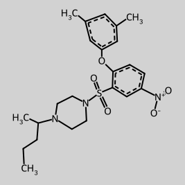 CCCC(C)N1CCN(S(=O)(=O)c2cc([N+](=O)[O-])ccc2Oc2cc(C)cc(C)c2)CC1